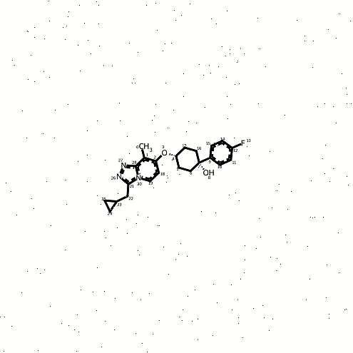 Cc1c(O[C@H]2CC[C@](O)(c3ccc(F)cc3)CC2)ccn2c(CC3CC3)nnc12